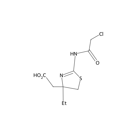 CCC1(CC(=O)O)CSC(NC(=O)CCl)=N1